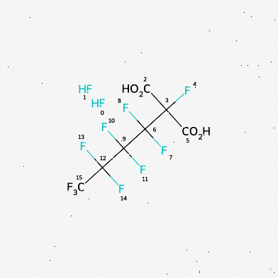 F.F.O=C(O)C(F)(C(=O)O)C(F)(F)C(F)(F)C(F)(F)C(F)(F)F